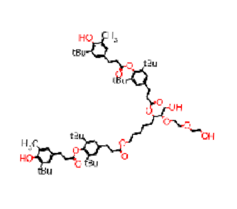 Cc1cc(CCC(=O)Oc2c(C(C)(C)C)cc(CCC(=O)OCCCCCC(OC(=O)CCc3cc(C(C)(C)C)c(OC(=O)CCc4cc(C)c(O)c(C(C)(C)C)c4)c(C(C)(C)C)c3)C(CO)OCCOCCO)cc2C(C)(C)C)cc(C(C)(C)C)c1O